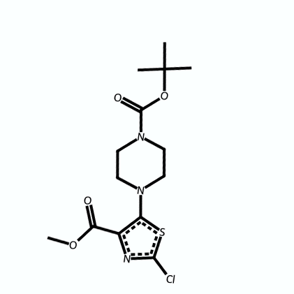 COC(=O)c1nc(Cl)sc1N1CCN(C(=O)OC(C)(C)C)CC1